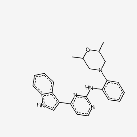 CC1CN(c2ccccc2Nc2nccc(-c3c[nH]c4ccccc34)n2)CC(C)O1